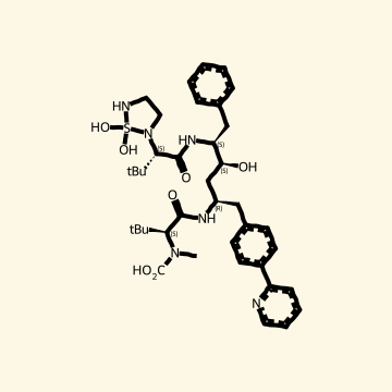 CN(C(=O)O)[C@H](C(=O)N[C@H](Cc1ccc(-c2ccccn2)cc1)C[C@H](O)[C@H](Cc1ccccc1)NC(=O)[C@@H](N1CCNS1(O)O)C(C)(C)C)C(C)(C)C